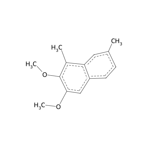 COc1cc2ccc(C)cc2c(C)c1OC